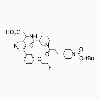 CC(C)(C)OC(=O)N1CCC(CCC(=O)N2CCC[C@@H](C(=O)NC(CC(=O)O)c3cncc(-c4cccc(OCCF)c4)c3)C2)CC1